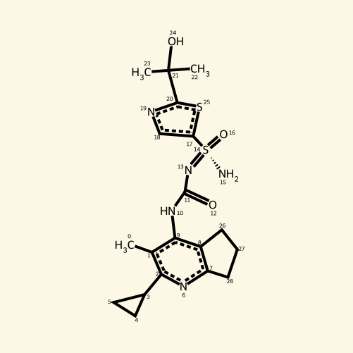 Cc1c(C2CC2)nc2c(c1NC(=O)N=[S@](N)(=O)c1cnc(C(C)(C)O)s1)CCC2